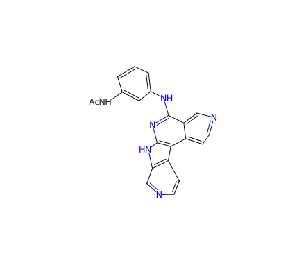 CC(=O)Nc1cccc(Nc2nc3[nH]c4cnccc4c3c3ccncc23)c1